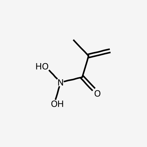 C=C(C)C(=O)N(O)O